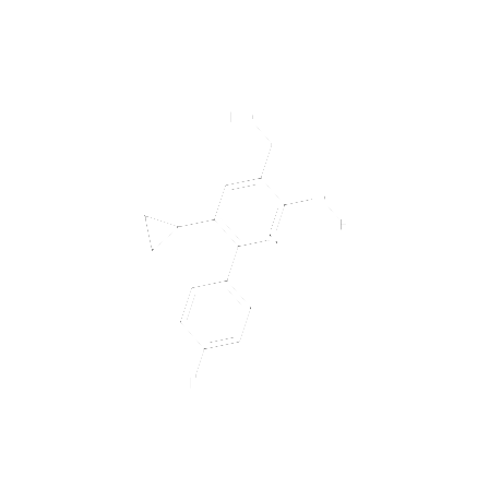 CCOc1nc(-c2ccc(F)cc2)c(C2CC2)cc1CO